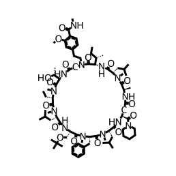 CC[C@H](C)[C@@H]1NC(=O)[C@H](CC(C)C)N(C)C(=O)[C@@H](C)NC(=O)C[C@@H](C(=O)N2CCCCC2)NC(=O)[C@H](CC(C)C)N(C)C(=O)[C@H](Cc2ccccc2)N(C)C(=O)[C@H](COC(C)(C)C)NC(=O)[C@H](CC(C)C)N(C)C(=O)[C@H](CC)N(C)C(=O)[C@H]([C@@H](C)O)NC(=O)CN(CCc2ccc(C(=O)NC)c(OC)c2)C1=O